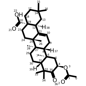 CC(=O)O[C@@H]1C[C@]2(C)[C@H]3CC=C4[C@@H]5CC(C)(C)CC[C@]5(C(=O)O)CC[C@@]4(C)[C@]3(C)CC[C@H]2C(C)(C)C1=O